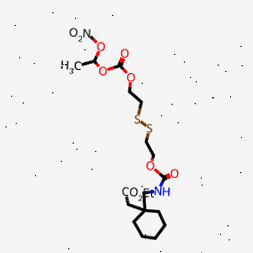 CCOC(=O)CC1(CNC(=O)OCCSSCCOC(=O)OC(C)O[N+](=O)[O-])CCCCC1